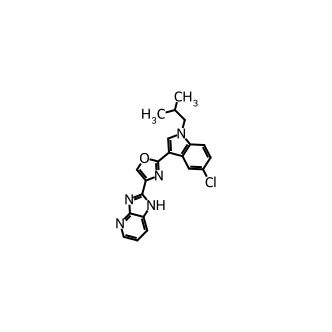 CC(C)Cn1cc(-c2nc(-c3nc4ncccc4[nH]3)co2)c2cc(Cl)ccc21